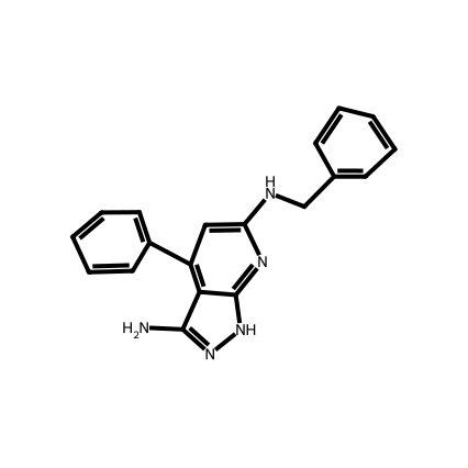 Nc1n[nH]c2nc(NCc3ccccc3)cc(-c3ccccc3)c12